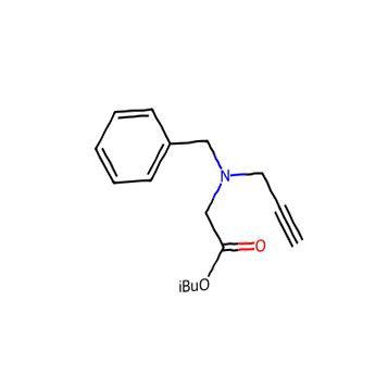 C#CCN(CC(=O)OCC(C)C)Cc1ccccc1